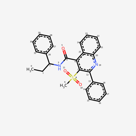 CCC(NC(=O)c1c(S(C)(=O)=O)c(-c2ccccc2)nc2ccccc12)c1ccccc1